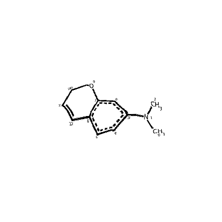 CN(C)c1ccc2c(c1)OCC=C2